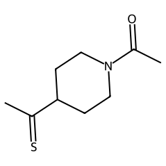 CC(=O)N1CCC(C(C)=S)CC1